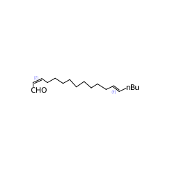 CCCC/C=C/CCCCCCCCC/C=C\C=O